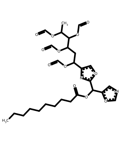 CCCCCCCCCC(=O)OC(c1cnco1)c1nc(C(CC(OC=O)C(OC=O)C(C)OC=O)OC=O)co1